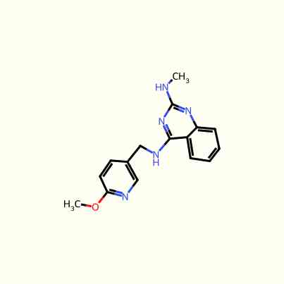 CNc1nc(NCc2ccc(OC)nc2)c2ccccc2n1